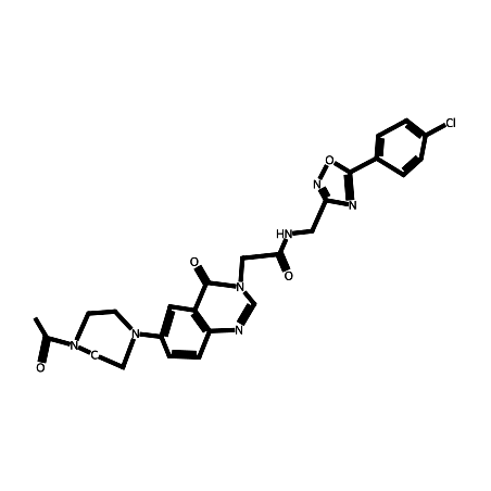 CC(=O)N1CCN(c2ccc3ncn(CC(=O)NCc4noc(-c5ccc(Cl)cc5)n4)c(=O)c3c2)CC1